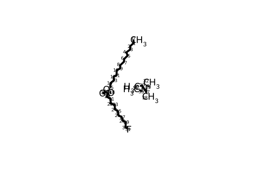 CCCCCCCCCCCCCCCCOS(=O)(=O)CCCCCCCCCCCF.CC[N+](CC)(CC)CC